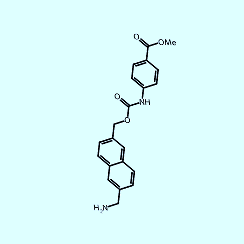 COC(=O)c1ccc(NC(=O)OCc2ccc3cc(CN)ccc3c2)cc1